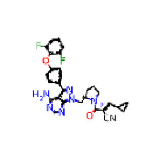 N#C/C(=C\C1CC1)C(=O)N1CCC[C@@H]1Cn1nc(-c2ccc(Oc3c(F)cccc3F)cc2)c2c(N)ncnc21